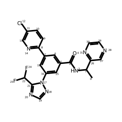 CC(NC(=O)c1cc(-c2ccc(Cl)cn2)cc(-n2ncnc2C(F)F)c1)c1cnccn1